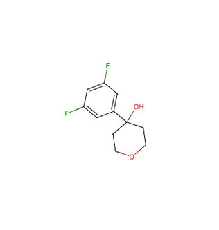 OC1(c2cc(F)cc(F)c2)CCOCC1